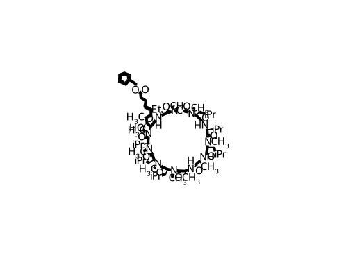 CC[C@@H]1NC(=O)[C@H]([C@H](O)[C@H](C)C/C=C/CCC(=O)OCc2ccccc2)N(C)C(=O)[C@H](C(C)C)N(C)C(=O)[C@H](CC(C)C)N(C)C(=O)[C@H](CC(C)C)N(C)C(=O)[C@@H](C)NC(=O)[C@H](C)NC(=O)[C@H](CC(C)C)N(C)C(=O)[C@H](C(C)C)NC(=O)[C@H](CC(C)C)N(C)C(=O)CN(C)C1=O